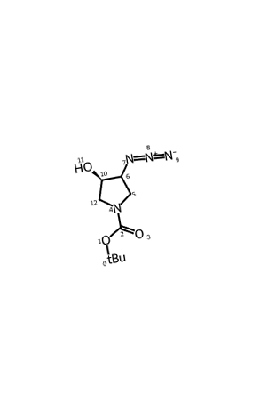 CC(C)(C)OC(=O)N1CC(N=[N+]=[N-])[C@H](O)C1